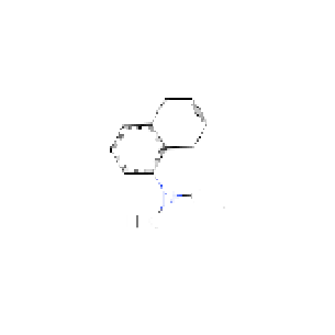 CN(C)c1cccc2c1CC=C[CH]2